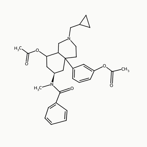 CC(=O)Oc1cccc(C23CCN(CC4CC4)CC2C(OC(C)=O)C[C@H](N(C)C(=O)c2ccccc2)C3)c1